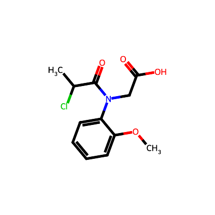 COc1ccccc1N(CC(=O)O)C(=O)C(C)Cl